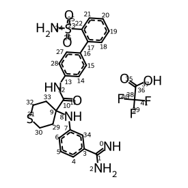 N=C(N)c1cccc(NC2(C(=O)Nc3ccc(-c4ccccc4S(N)(=O)=O)cc3)CCSCC2)c1.O=C(O)C(F)(F)F